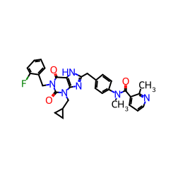 Cc1ncccc1C(=O)N(C)c1ccc(Cc2nc3c([nH]2)c(=O)n(Cc2ccccc2F)c(=O)n3CC2CC2)cc1